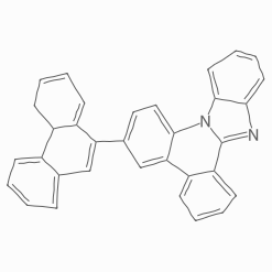 C1=CCC2C(=C1)C(c1ccc3c(c1)c1ccccc1c1nc4ccccc4n31)=Cc1ccccc12